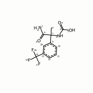 CC(NC(=O)O)(C(N)=O)c1cccc(C(F)(F)F)c1